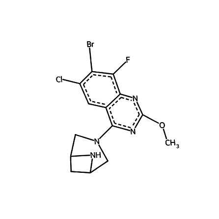 COc1nc(N2CC3CC(C2)N3)c2cc(Cl)c(Br)c(F)c2n1